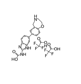 O=C(O)C(F)(F)F.O=C(O)C(F)(F)F.O=C(O)Nc1nc2ccc(-c3ccc4c(c3)CNCCO4)cc2[nH]1